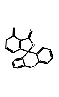 C=C1CC=CC2=C1C(=O)OC21c2ccccc2Oc2ccccc21